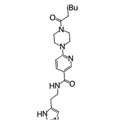 CCC(C)CC(=O)N1CCN(c2ccc(C(=O)NCCc3cnc[nH]3)cn2)CC1